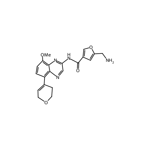 COc1ccc(C2=CCOCC2)c2ncc(NC(=O)c3coc(CN)c3)nc12